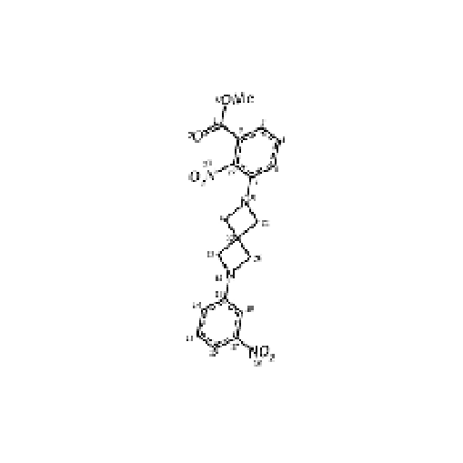 COC(=O)c1cccc(N2CC3(CN(c4cccc([N+](=O)[O-])c4)C3)C2)c1[N+](=O)[O-]